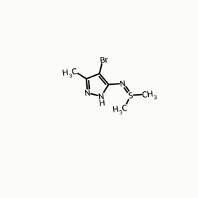 Cc1n[nH]c(N=S(C)C)c1Br